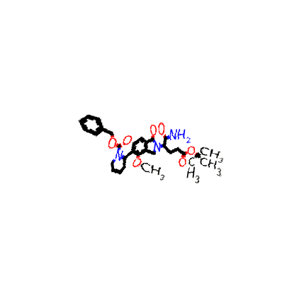 COc1c(C2CC=CCN2C(=O)OCc2ccccc2)ccc2c1CN(C(CCC(=O)OC(C)(C)C)C(N)=O)C2=O